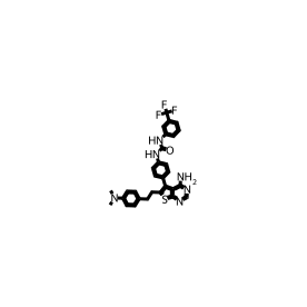 CN(C)c1ccc(CCc2sc3ncnc(N)c3c2-c2ccc(NC(=O)Nc3cccc(C(F)(F)F)c3)cc2)cc1